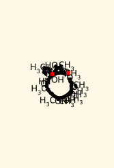 CO[C@H]1/C=C/O[C@@]2(C)Oc3c(C)c(O)c4c(O)c(c5c(nc6cc(C)ccn65)c4c3C2=O)NC(=O)/C(C)=C\C=C\[C@H](C)C(O)[C@@H](C)[C@@H](O)[C@@H](C)C(O)[C@@H]1C